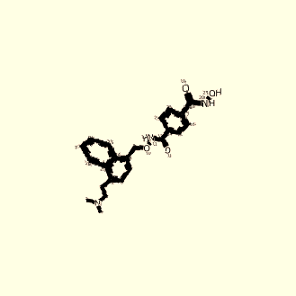 CN(C)CCc1ccc(CONC(=O)c2ccc(C(=O)NO)cc2)c2ccccc12